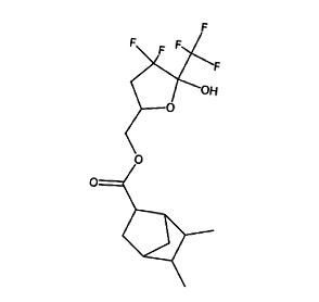 CC1C2CC(C(=O)OCC3CC(F)(F)C(O)(C(F)(F)F)O3)C(C2)C1C